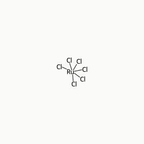 [Cl][Ru]([Cl])([Cl])([Cl])([Cl])[Cl]